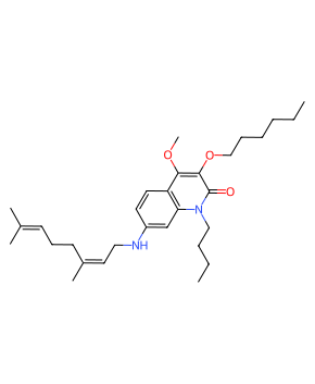 CCCCCCOc1c(OC)c2ccc(NCC=C(C)CCC=C(C)C)cc2n(CCCC)c1=O